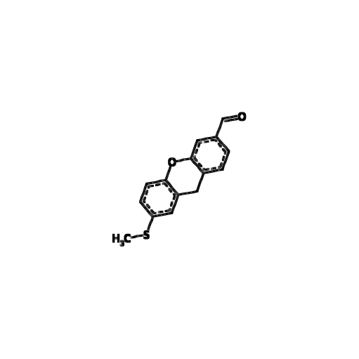 CSc1ccc2c(c1)Cc1ccc(C=O)cc1O2